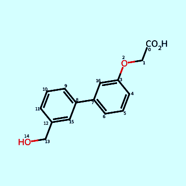 O=C(O)COc1cccc(-c2cccc(CO)c2)c1